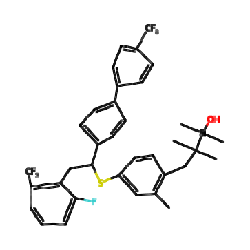 Cc1cc(SC(Cc2c(F)cccc2C(F)(F)F)c2ccc(-c3ccc(C(F)(F)F)cc3)cc2)ccc1CC(C)(C)[Si](C)(C)O